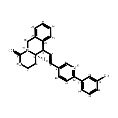 O=C1OCC[C@@H]2C(/C=C/c3ccc(-c4cccc(F)c4)nc3)c3ccccc3CN12